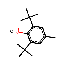 Cc1cc(C(C)(C)C)c(O)c(C(C)(C)C)c1.[Cr]